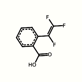 O=C(O)c1ccccc1C(F)=C(F)F